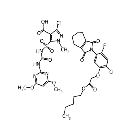 CCCCCOC(=O)COc1cc(N2C(=O)C3=C(CCCC3)C2=O)c(F)cc1Cl.COc1cc(OC)nc(NC(=O)NS(=O)(=O)c2c(C(=O)O)c(Cl)nn2C)n1